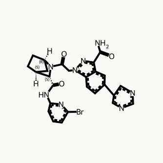 NC(=O)c1nn(CC(=O)N2[C@@H]3CC[C@@H](C3)[C@H]2C(=O)Nc2cccc(Br)n2)c2ccc(-c3cncnc3)cc12